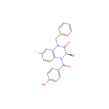 CC[C@@H]1C(=O)N(Cc2ccccc2)c2cc(F)ccc2N1C(=O)c1ccc(O)cc1